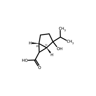 CC(C)C1(O)CC[C@H]2C(C(=O)O)[C@H]21